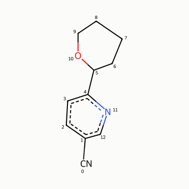 N#Cc1ccc(C2CCCCO2)nc1